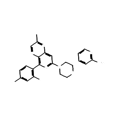 COc1cc([C@H]2CN(c3cc4nc(C)cnc4c(-c4ccc(Cl)cc4F)n3)CCO2)ccn1